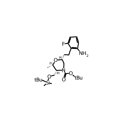 C[C@@H]1O[C@H](CCc2c(N)cccc2F)CN(C(=O)OC(C)(C)C)[C@@H]1CO[Si](C)(C)C(C)(C)C